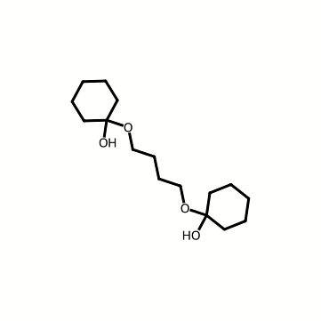 OC1(OCCCCOC2(O)CCCCC2)CCCCC1